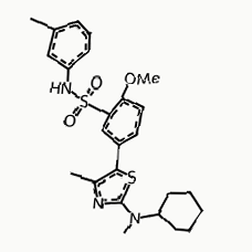 COc1ccc(-c2sc(N(C)C3CCCCC3)nc2C)cc1S(=O)(=O)Nc1cccc(C)c1